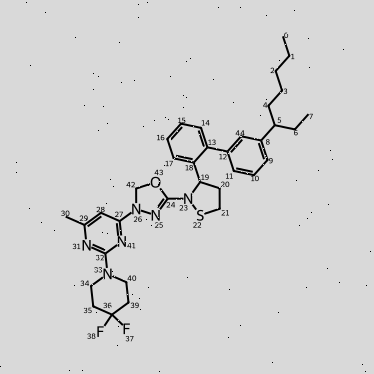 CCCCCC(CC)c1cccc(-c2ccccc2C2CCSN2C2=NN(c3cc(C)nc(N4CCC(F)(F)CC4)n3)CO2)c1